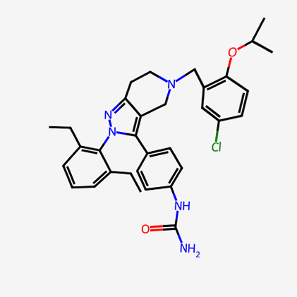 CCc1cccc(CC)c1-n1nc2c(c1-c1ccc(NC(N)=O)cc1)CN(Cc1cc(Cl)ccc1OC(C)C)CC2